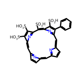 O=S(=O)(O)C1=C2N=C(C=C3C=CC(=N3)C=C3C=CC(=N3)C=C3N=C1C(S(=O)(=O)O)=C3S(=O)(=O)O)C(c1ccccc1)=C2S(=O)(=O)O